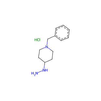 Cl.NNC1CCN(Cc2ccccc2)CC1